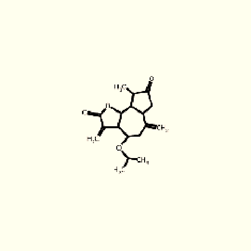 C=C1CC(OC(C)C)C2C(=C)C(=O)OC2C2C(C)C(=O)CC12